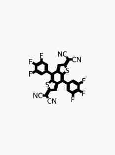 N#CC(C#N)=c1cc2c(-c3cc(F)c(F)c(F)c3)c3sc(=C(C#N)C#N)cc3c(-c3cc(F)c(F)c(F)c3)c2s1